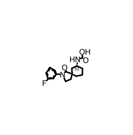 O=C(O)N[C@H]1CCCC2(CCN(c3cccc(F)c3)C2=O)C1